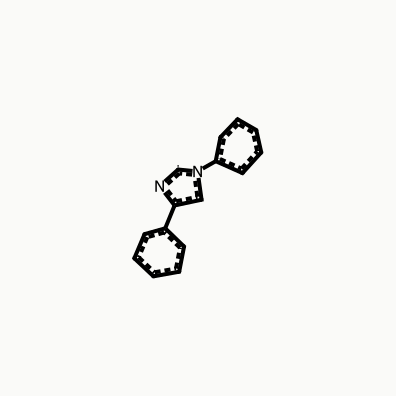 [c]1nc(-c2ccccc2)cn1-c1ccccc1